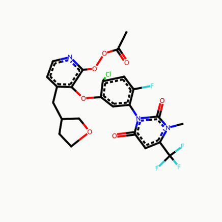 CC(=O)OOc1nccc(CC2CCOC2)c1Oc1cc(-n2c(=O)cc(C(F)(F)F)n(C)c2=O)c(F)cc1Cl